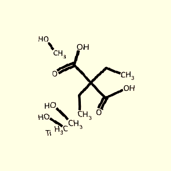 CCC(CC)(C(=O)O)C(=O)O.CO.CO.CO.[Ti]